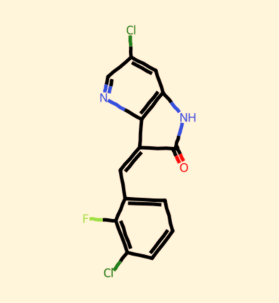 O=C1Nc2cc(Cl)cnc2C1=Cc1cccc(Cl)c1F